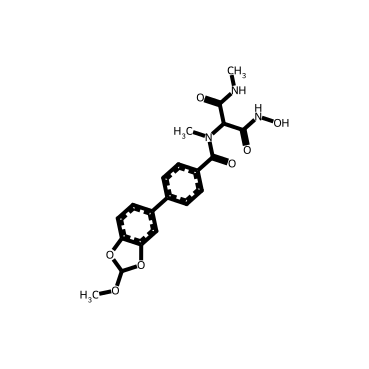 CNC(=O)C(C(=O)NO)N(C)C(=O)c1ccc(-c2ccc3c(c2)OC(OC)O3)cc1